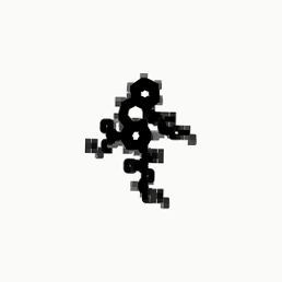 CCNN1c2ccccc2CCc2c(C(C)=O)cc(NC(=O)OCC)cc21